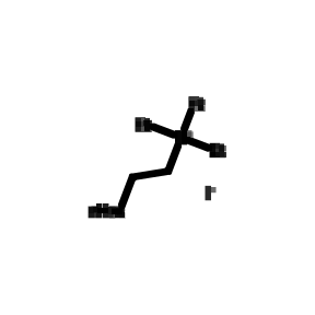 CCCCCCCC[N+](CC)(CC)CC.[I-]